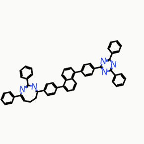 C1=C(c2ccccc2)/N=C(c2ccccc2)\N=C(\c2ccc(-c3cccc4c(-c5ccc(-c6nc(-c7ccccc7)nc(-c7ccccc7)n6)cc5)cccc34)cc2)CC\1